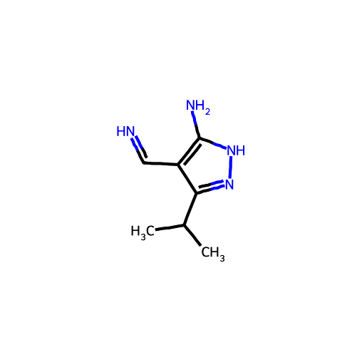 CC(C)c1n[nH]c(N)c1C=N